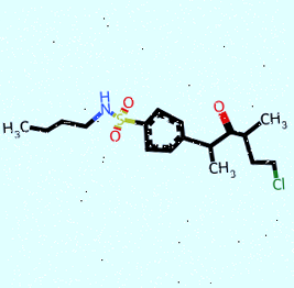 CCCCNS(=O)(=O)c1ccc(C(C)C(=O)C(C)CCCl)cc1